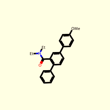 CCN(CC)C(=O)c1cc(-c2ccc(OC)cc2)ccc1-c1ccccc1